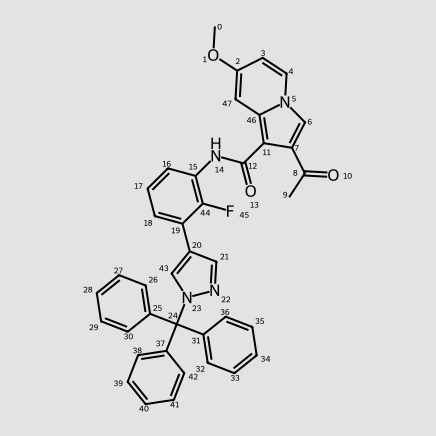 COc1ccn2cc(C(C)=O)c(C(=O)Nc3cccc(-c4cnn(C(c5ccccc5)(c5ccccc5)c5ccccc5)c4)c3F)c2c1